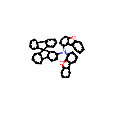 c1ccc2c(c1)-c1ccccc1C21c2ccccc2-c2ccc(N(c3cccc4c3oc3ccccc34)c3cccc4oc5ccccc5c34)cc21